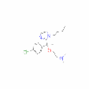 CCCCn1ccnc1C(C)(OCCN(C)C)c1ccc(Cl)cc1